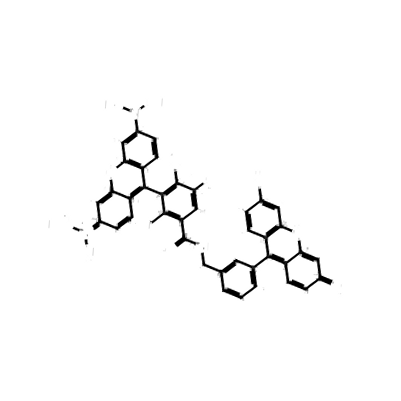 CN(C)c1ccc2c(-c3c(Cl)c(C(=O)NCc4cccc(-c5c6ccc(=O)cc-6oc6cc(O)ccc56)c4)cc(Cl)c3C(=O)O)c3ccc(=[N+](C)C)cc-3oc2c1